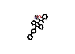 C=C(c1ccccc1O)C(C/C=C\C)c1c2ccccc2c(-c2ccc(-c3ccccc3)cc2)c2ccccc12